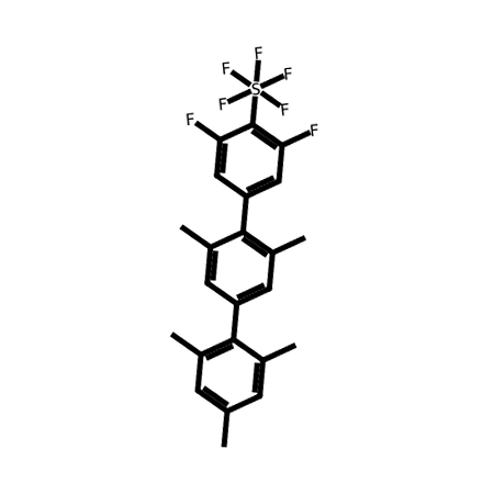 Cc1cc(C)c(-c2cc(C)c(-c3cc(F)c(S(F)(F)(F)(F)F)c(F)c3)c(C)c2)c(C)c1